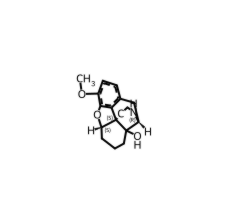 COc1ccc2c3c1O[C@H]1CCCC4(O)[C@@H](C2)NCC[C@]314